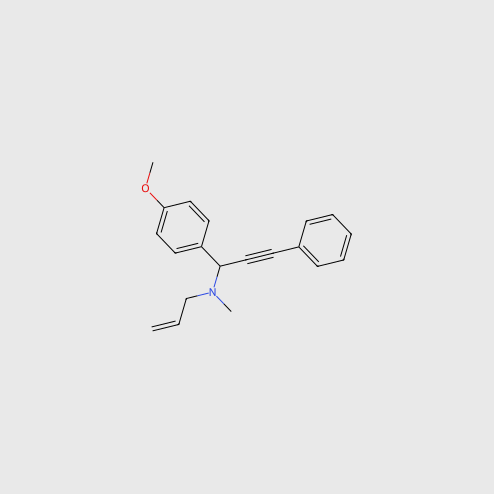 C=CCN(C)C(C#Cc1ccccc1)c1ccc(OC)cc1